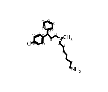 CN(CCCCCCCN)CCC(c1ccc(Cl)cc1)c1ccccn1